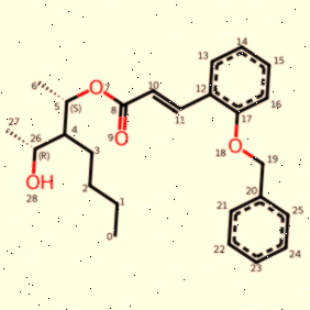 CCCCC([C@H](C)OC(=O)C=Cc1ccccc1OCc1ccccc1)[C@@H](C)O